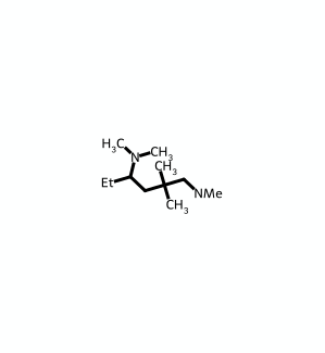 CCC(CC(C)(C)CNC)N(C)C